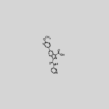 COc1ccc(-c2ccc3c(c2)c(C(=O)O)nn3C(=O)Nc2cccnc2)cn1